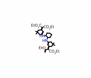 C=C(OCC)/C(C(=O)OCC)=C1\C=C(NC2CCCCC2NC2=CC(=C(C(=O)OCC)C(=O)OCC)CC(C)(C)C2)CC(C)(C)C1